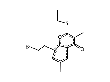 CCSc1oc2c(CCBr)cc(C)cc2c(=O)c1C